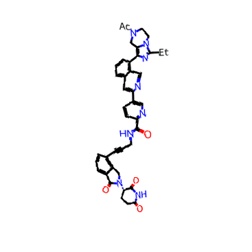 CCc1nc(-c2cccc3cc(-c4ccc(C(=O)NCC#Cc5cccc6c5CN([C@H]5CCC(=O)NC5=O)C6=O)nc4)ncc23)c2n1CCN(C(C)=O)C2